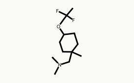 CN(C)CC1(C)CCC(OC(C)(F)F)CC1